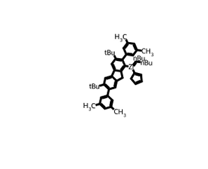 CCCC[C](CCCC)=[Zr]([C]1=CC=CC1)[c]1c2c(cc(C(C)(C)C)c1-c1cc(C)cc(C)c1)-c1cc(C(C)(C)C)c(-c3cc(C)cc(C)c3)cc1C2